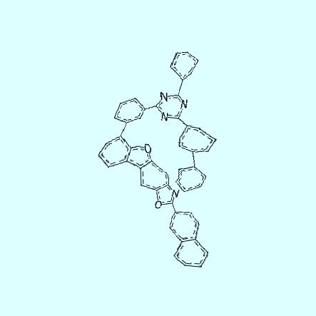 c1ccc(-c2cccc(-c3nc(-c4ccccc4)nc(-c4cccc(-c5cccc6c5oc5cc7nc(-c8ccc9ccccc9c8)oc7cc56)c4)n3)c2)cc1